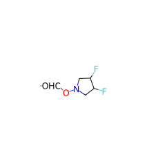 O=[C]ON1CC(F)C(F)C1